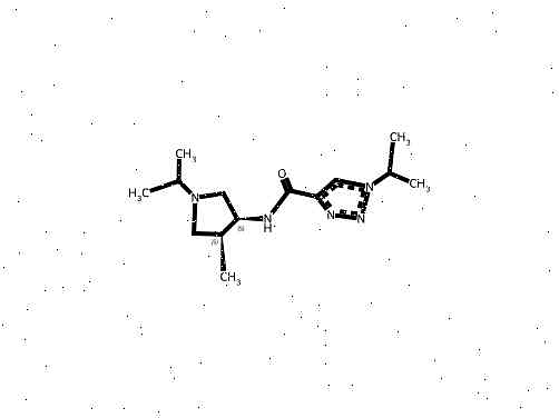 CC(C)N1C[C@H](C)[C@H](NC(=O)c2cn(C(C)C)nn2)C1